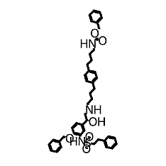 O=C(NCCCCc1ccc(CCCCNC[C@H](O)c2ccc(OCc3ccccc3)c(NS(=O)(=O)CCc3ccccc3)c2)cc1)OCc1ccccc1